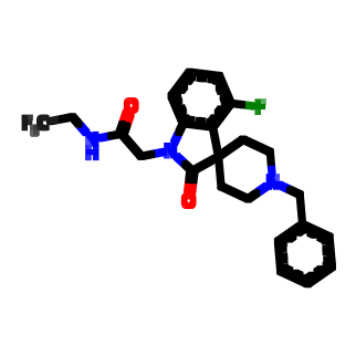 O=C(CN1C(=O)C2(CCN(Cc3ccccc3)CC2)c2c(F)cccc21)NCC(F)(F)F